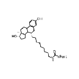 CCCCCC(=O)N(C)CCCCCCCCC[C@H]1Cc2cc(O)ccc2C2CC[C@@]3(C)C(CC[C@@H]3O)C21